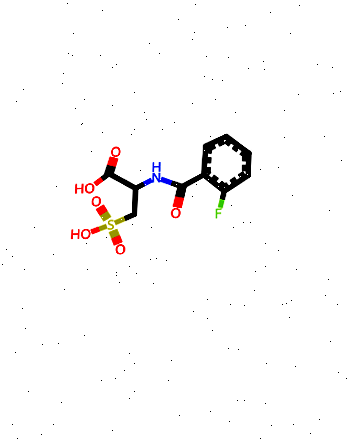 O=C(NC(CS(=O)(=O)O)C(=O)O)c1ccccc1F